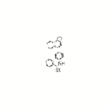 CCC(Nc1c#cc(-c2cc3c(c4ccccc24)CC3)cc1)c1ccccc1